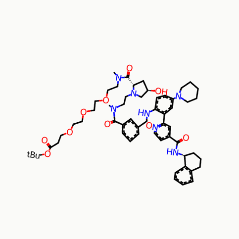 CN(CCN1C[C@H](O)C[C@H]1C(=O)N(C)CCOCCOCCOCCC(=O)OC(C)(C)C)C(=O)c1cccc(C(=O)Nc2ccc(N3CCCCC3)cc2-c2cc(C(=O)N[C@H]3CCCc4ccccc43)ccn2)c1